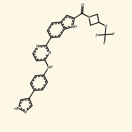 O=C(c1cc2ccc(-c3nccc(Nc4ccc(-c5cn[nH]c5)cc4)n3)cc2[nH]1)N1CC(OC(F)(F)F)C1